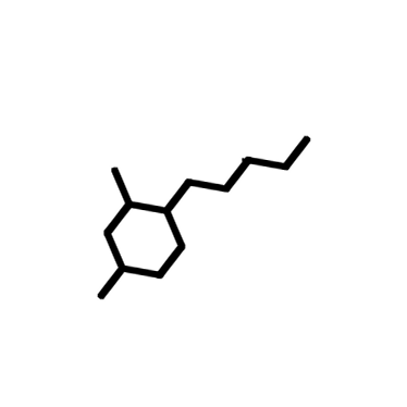 CC[CH]CCC1CCC(C)CC1C